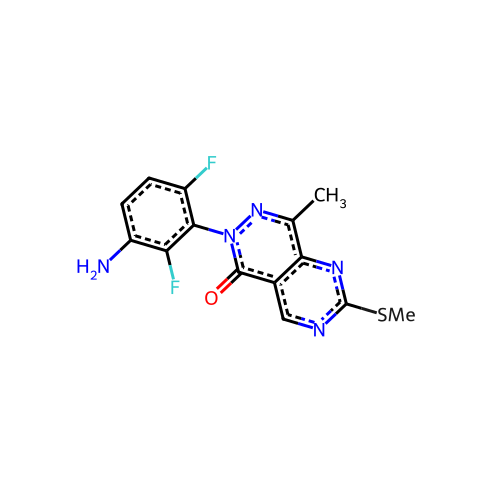 CSc1ncc2c(=O)n(-c3c(F)ccc(N)c3F)nc(C)c2n1